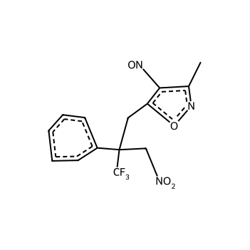 Cc1noc(CC(C[N+](=O)[O-])(c2ccccc2)C(F)(F)F)c1N=O